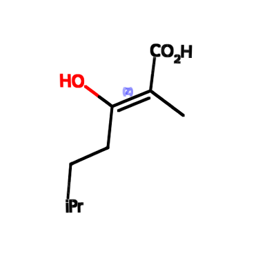 C/C(C(=O)O)=C(/O)CCC(C)C